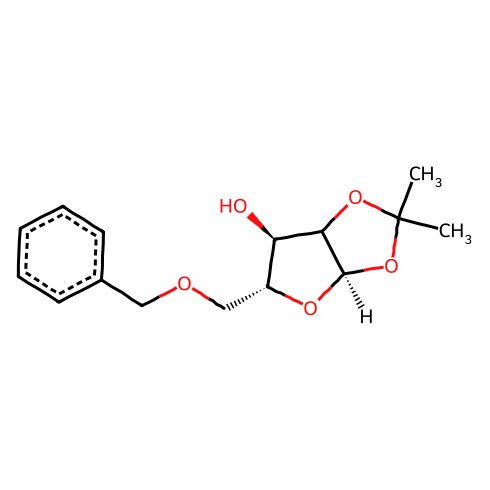 CC1(C)OC2[C@H](O[C@H](COCc3ccccc3)[C@H]2O)O1